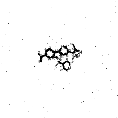 C=C(C)c1ccc2c3ncc(-c4c(C)nnn4C)cc3n([C@H](C)C3CCOCC3)c2c1